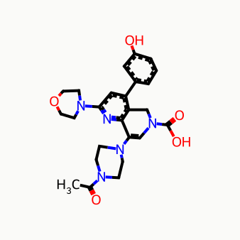 CC(=O)N1CCN(C2=CN(C(=O)O)Cc3c(-c4cccc(O)c4)cc(N4CCOCC4)nc32)CC1